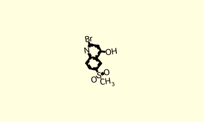 CS(=O)(=O)c1ccc2nc(Br)cc(O)c2c1